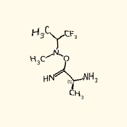 CC(N(C)OC(=N)[C@H](C)N)C(F)(F)F